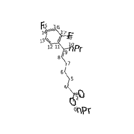 CCCOC(=O)CCCC/C=C(\CCC)c1ccc(F)cc1F